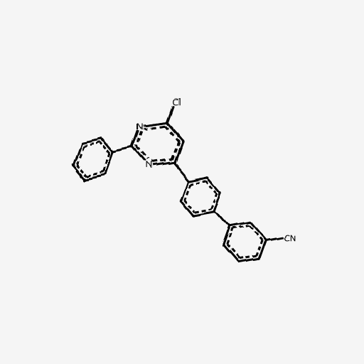 N#Cc1cccc(-c2ccc(-c3cc(Cl)nc(-c4ccccc4)n3)cc2)c1